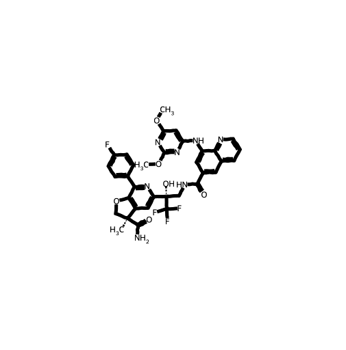 COc1cc(Nc2cc(C(=O)NC[C@](O)(c3cc4c(c(-c5ccc(F)cc5)n3)OC[C@]4(C)C(N)=O)C(F)(F)F)cc3cccnc23)nc(OC)n1